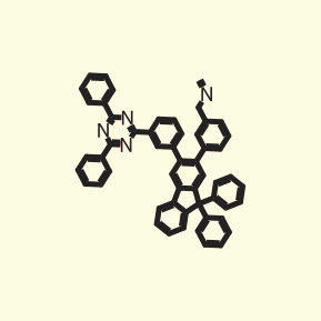 C=NCc1cccc(-c2cc3c(cc2-c2cccc(-c4nc(-c5ccccc5)nc(-c5ccccc5)n4)c2)-c2ccccc2C3(c2ccccc2)c2ccccc2)c1